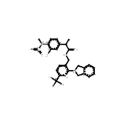 CC(C(=O)NCc1ccc(C(F)(F)F)nc1N1Cc2ccccc2C1)c1ccc(N(C)[SH](=O)=O)c(F)c1